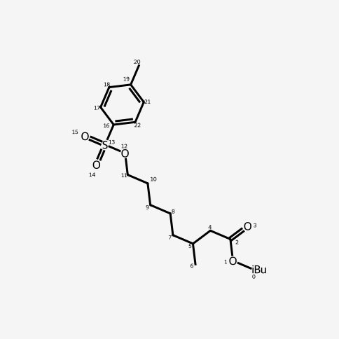 CCC(C)OC(=O)CC(C)CCCCCOS(=O)(=O)c1ccc(C)cc1